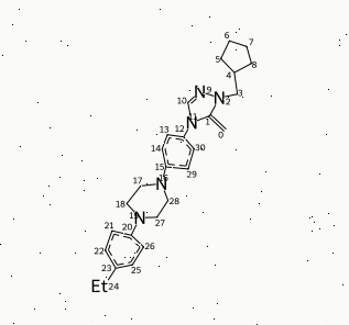 C=C1N(CC2CCCC2)N=CN1c1ccc(N2CCN(c3ccc(CC)cc3)CC2)cc1